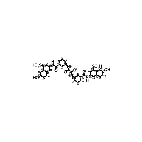 O=C(Nc1cccc(C(=O)Nc2cc(S(=O)(=O)O)c3cc(O)ccc3c2)c1)C(=O)Nc1cccc(C(=O)Nc2cc(S(=O)(=O)O)c3cc(O)ccc3c2)c1